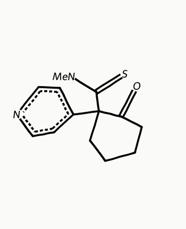 CNC(=S)C1(c2ccncc2)CCCCC1=O